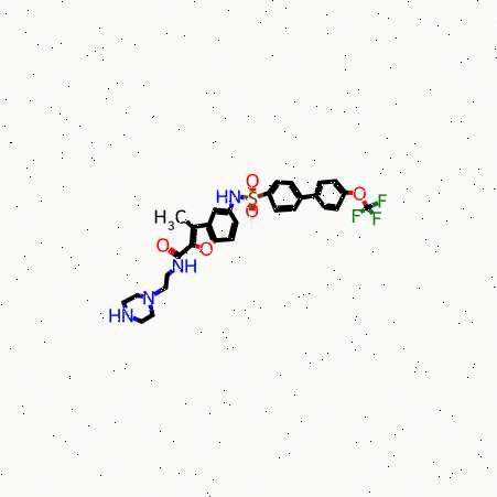 Cc1c(C(=O)NCCN2CCNCC2)oc2ccc(NS(=O)(=O)c3ccc(-c4ccc(OC(F)(F)F)cc4)cc3)cc12